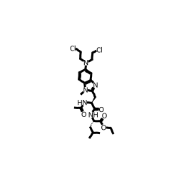 CCOC(=O)[C@H](CC(C)C)NC(=O)[C@H](Cc1nc2cc(N(CCCl)CCCl)ccc2n1C)NC(C)=O